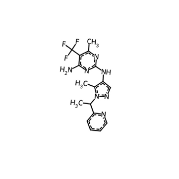 Cc1nc(Nc2cnn(C(C)c3ccccn3)c2C)nc(N)c1C(F)(F)F